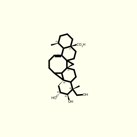 C[C@H]1CCC[C@]2(C(=O)O)CCC34C[C@]35CCC3[C@@]6(C[C@@H](O)[C@H](O)[C@@]3(C)CO)C(CC/C=C\4C12)C65